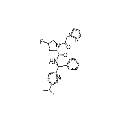 CC(C)c1ccc([C@@H](NC(=O)[C@@H]2C[C@@H](F)CN2C(=O)Cn2cccn2)c2ccccc2)nc1